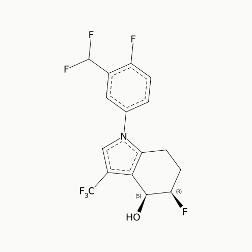 O[C@H]1c2c(C(F)(F)F)cn(-c3ccc(F)c(C(F)F)c3)c2CC[C@H]1F